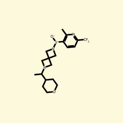 Cc1nc(C(F)(F)F)ccc1[S+]([O-])N1CC2(CN(C(C)C3CCOCC3)C2)C1